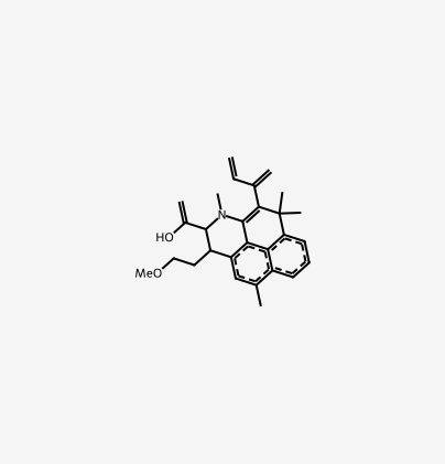 C=CC(=C)C1=C2c3c(cc(C)c4cccc(c34)C1(C)C)C(CCOC)C(C(=C)O)N2C